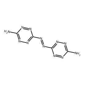 Nc1nnc(/N=N/c2nnc(N)nn2)nn1